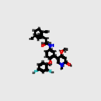 CCOc1cc(=O)n(C)cc1-c1cc(NC(=O)CC2C[C@H]3CC[C@H]2C3)ccc1Oc1ccc(F)cc1F